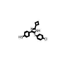 Sc1ccc(-c2nc(C3CCC3)[nH]c2Sc2ccc(Cl)cc2)cc1